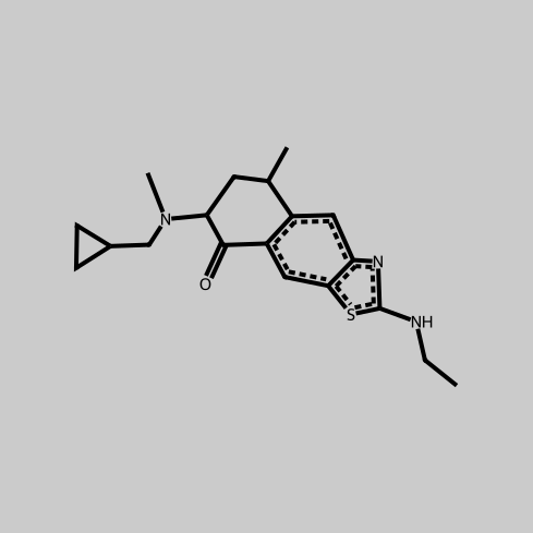 CCNc1nc2cc3c(cc2s1)C(=O)C(N(C)CC1CC1)CC3C